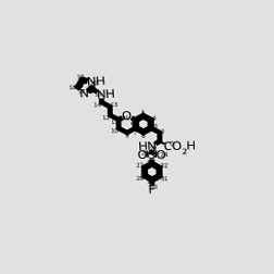 O=C(O)[C@H](Cc1ccc2c(c1)CCC(CCCNc1ncc[nH]1)O2)NS(=O)(=O)c1ccc(F)cc1